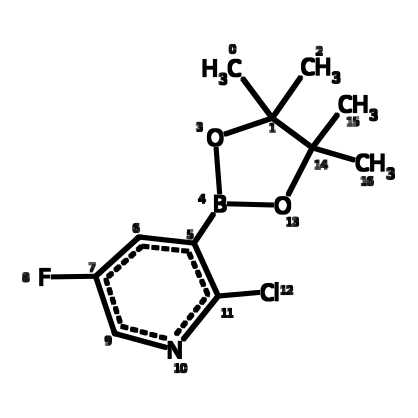 CC1(C)OB(c2cc(F)cnc2Cl)OC1(C)C